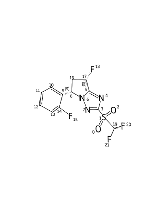 O=S(=O)(c1nc2n(n1)[C@H](c1ccccc1F)C[C@@H]2F)C(F)F